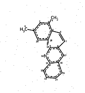 Cc1cc(C)c(/C=C\c2cnc3ccccc3c2)c(F)c1